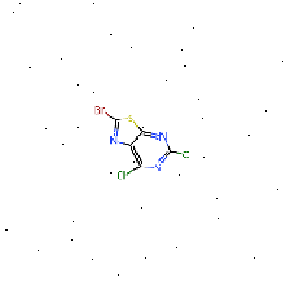 Clc1nc(Cl)c2nc(Br)sc2n1